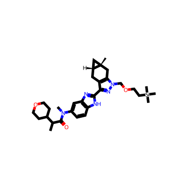 CC(C(=O)N(C)c1ccc2[nH]c(-c3nn(COCC[Si](C)(C)C)c4c3C[C@@H]3C[C@]3(C)C4)nc2c1)C1CCOCC1